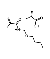 C=C(C)C(=O)NCOCCCC.C=C(C)C(=O)O